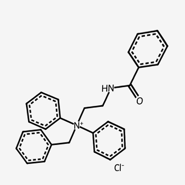 O=C(NCC[N+](Cc1ccccc1)(c1ccccc1)c1ccccc1)c1ccccc1.[Cl-]